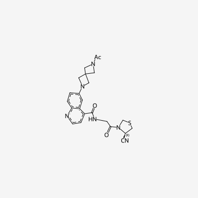 CC(=O)N1CC2(C1)CN(c1ccc3nccc(C(=O)NCC(=O)N4CSC[C@H]4C#N)c3c1)C2